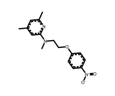 Cc1cc(C)nc(N(C)CCOc2ccc([N+](=O)[O-])cc2)c1